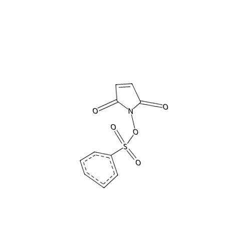 O=C1C=CC(=O)N1OS(=O)(=O)c1ccccc1